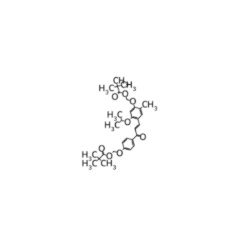 Cc1cc(C=CC(=O)c2ccc(OCOC(=O)C(C)(C)C)cc2)c(OC(C)C)cc1OCOC(=O)C(C)(C)C